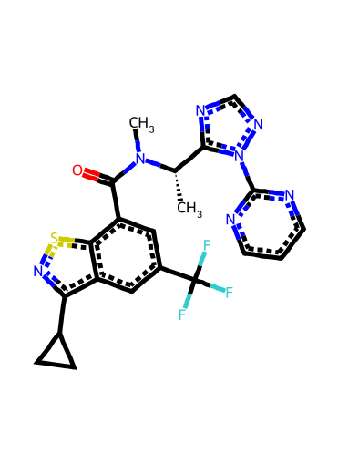 C[C@@H](c1ncnn1-c1ncccn1)N(C)C(=O)c1cc(C(F)(F)F)cc2c(C3CC3)nsc12